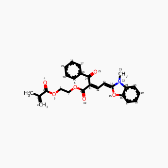 C=C(C)C(=O)OCCOC(=O)/C(=C/C=C1\Oc2ccccc2N1C)C(=O)c1ccccc1